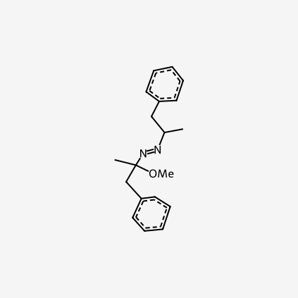 COC(C)(Cc1ccccc1)N=NC(C)Cc1ccccc1